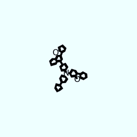 c1ccc(-c2ccc(N(c3ccc(-c4cc5c6ccccc6oc5c5ccccc45)cc3)c3ccc4c(c3)oc3ccccc34)cc2)cc1